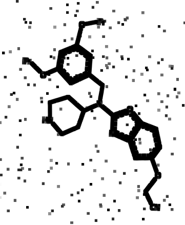 CC(C)Oc1cc(CN(c2nc3cc(OCC#N)ccc3o2)C2CCNCC2)cc(OC(C)C)c1